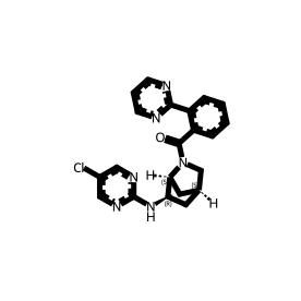 O=C(c1ccccc1-c1ncccn1)N1C[C@H]2C[C@@H](Nc3ncc(Cl)cn3)[C@@H]1C2